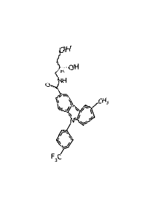 Cc1ccc2c(c1)c1cc(C(=O)NC[C@@H](O)CO)ccc1n2-c1ccc(C(F)(F)F)cc1